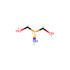 N=[PH](CO)CO